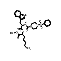 CC(C)(C)OC(=O)C(CCCCN)NC(=O)C(Cc1c[nH]c2ccccc12)NC(=O)N1CCN(S(=O)(=O)c2ccccc2)CC1